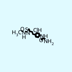 CC(=O)Nc1nc(CCc2ccc(NC(=O)CN)cc2)cs1.Cl